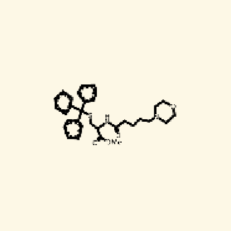 COC(=O)C(CSC(c1ccccc1)(c1ccccc1)c1ccccc1)NC(=O)CCCCN1CCOCC1